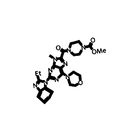 CCc1nc2ccccc2n1-c1nc(N2CCOCC2)c2nc(C(=O)N3CCN(C(=O)OC)CC3)n(C)c2n1